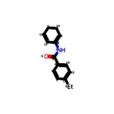 CCc1ccc(C(=O)NC2=CCCC=C2)cc1